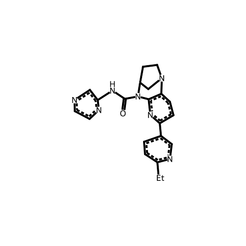 CCc1ccc(-c2ccc3c(n2)N(C(=O)Nc2cnccn2)C2CCN3C2)cn1